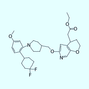 CCOC(=O)CC1CCOc2cnc(OCC3CCN(c4cc(OC)ccc4C4CCC(F)(F)CC4)CC3)cc21